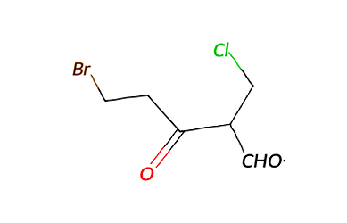 O=[C]C(CCl)C(=O)CCBr